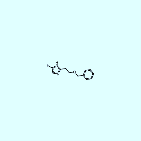 Ic1cnc(CCOCc2ccccc2)[nH]1